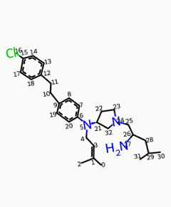 CC(C)=CCN(c1ccc(CCc2ccc(Cl)cc2)cc1)[C@H]1CCN(CC(N)CC(C)C)C1